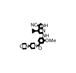 COc1cc(C(=O)N2CCC(N3CCOCC3)CC2)ccc1Nc1cc(C2CC2)c2c(C#N)c[nH]c2n1